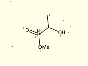 CO[PH](=O)C(C)O